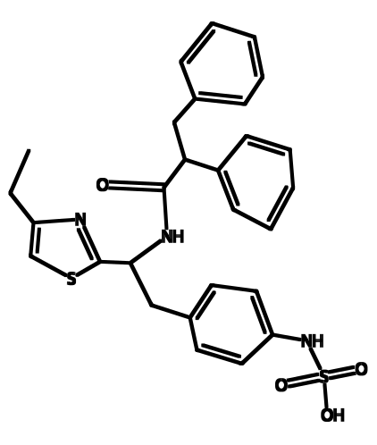 CCc1csc(C(Cc2ccc(NS(=O)(=O)O)cc2)NC(=O)C(Cc2ccccc2)c2ccccc2)n1